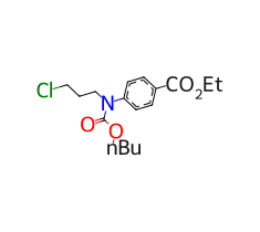 CCCCOC(=O)N(CCCCl)c1ccc(C(=O)OCC)cc1